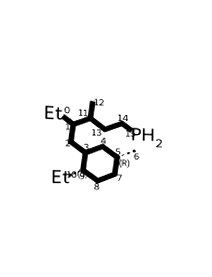 CCC(CC1C[C@H](C)CC[C@@H]1CC)C(C)CCP